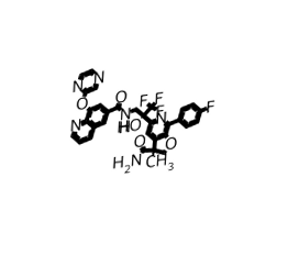 C[C@]1(C(N)=O)COc2c1cc([C@@](O)(CNC(=O)c1cc(Oc3cnccn3)c3ncccc3c1)C(F)(F)F)nc2-c1ccc(F)cc1